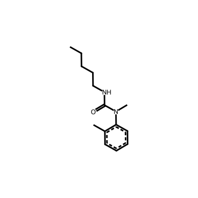 CCCCCNC(=O)N(C)c1ccccc1C